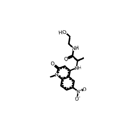 CC(Nc1cc(=O)n(C)c2ccc([N+](=O)[O-])cc12)C(=O)NCCO